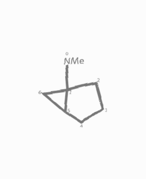 [CH2]NC12CCCC1C2